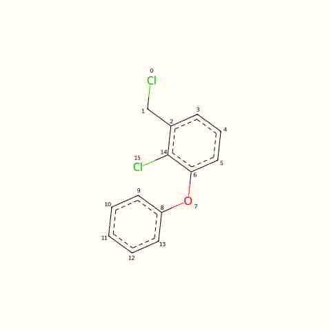 ClCc1cccc(Oc2ccccc2)c1Cl